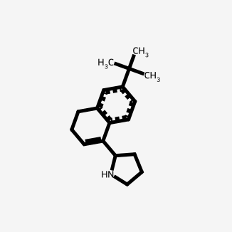 CC(C)(C)c1ccc2c(c1)CCC=C2C1CCCN1